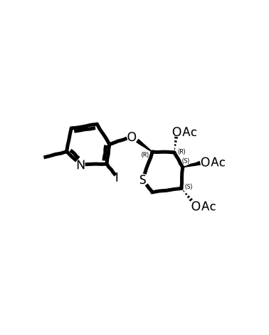 CC(=O)O[C@@H]1[C@@H](OC(C)=O)[C@H](OC(C)=O)CS[C@H]1Oc1ccc(C)nc1I